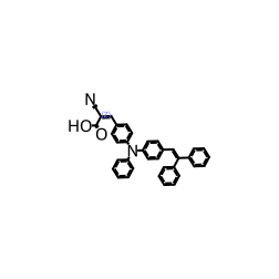 N#C/C(=C/c1ccc(N(c2ccccc2)c2ccc(C=C(c3ccccc3)c3ccccc3)cc2)cc1)C(=O)O